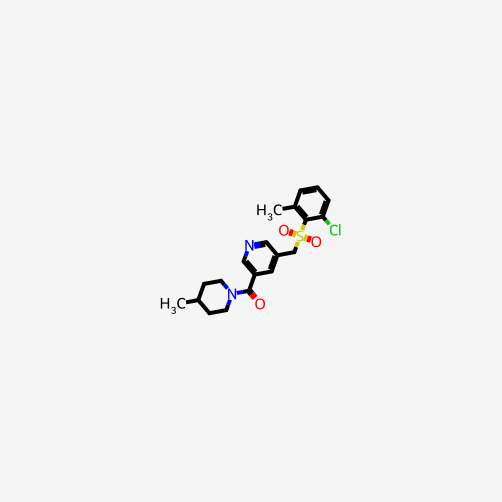 Cc1cccc(Cl)c1S(=O)(=O)Cc1cncc(C(=O)N2CCC(C)CC2)c1